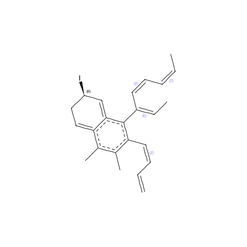 C=C/C=C\c1c(C)c(C)c2c(c1C(/C=C\C=C/C)=C/C)=C[C@H](I)CC=2